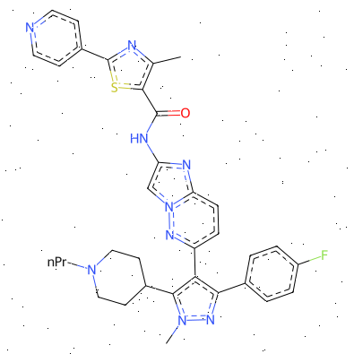 CCCN1CCC(c2c(-c3ccc4nc(NC(=O)c5sc(-c6ccncc6)nc5C)cn4n3)c(-c3ccc(F)cc3)nn2C)CC1